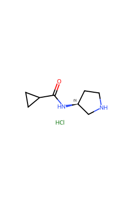 Cl.O=C(N[C@H]1CCNC1)C1CC1